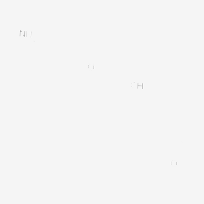 CC(CC1CC(CN)CO1)C1CCOCC1